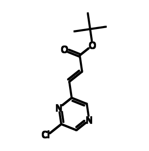 CC(C)(C)OC(=O)/C=C/c1cncc(Cl)n1